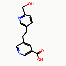 O=C(O)c1cncc(CCc2ccc(CO)nc2)c1